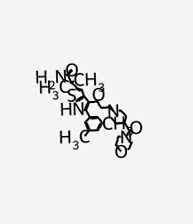 Cc1cc(C)cc(-c2[nH]c3sc(C(C)(C)C(N)=O)cc3c2C(=O)CCN2CCC(C(=O)N3CCOCC3)CC2)c1